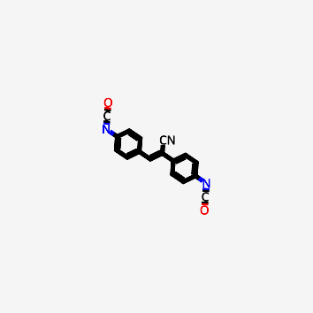 N#C/C(=C\c1ccc(N=C=O)cc1)c1ccc(N=C=O)cc1